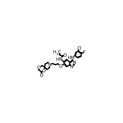 C=CC(=O)Nc1cc2c(Nc3ccc(F)c(Cl)c3)ncnc2cc1OCCCN1CCC2(CC1)COCC(=O)O2